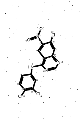 O=[N+]([O-])c1cc2c(Nc3ccc(Cl)c(Cl)c3)ncnc2cc1Cl